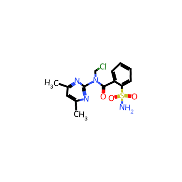 Cc1cc(C)nc(N(CCl)C(=O)c2ccccc2S(N)(=O)=O)n1